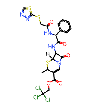 CC1S[C@@H]2C(NC(=O)C(NC(=O)CSc3nncs3)c3ccccc3)C(=O)N2C=C1C(=O)OCC(Cl)(Cl)Cl